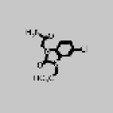 NC(=O)Cn1c(=O)n(CC(=O)O)c2cc(Cl)ccc21